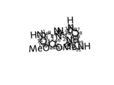 COc1ccc(Cn2c(CCc3c[nH]c4ccccc34)nnc2C(CNC(=O)C2CCNCC2)c2c[nH]c3ccccc23)c(OC)c1